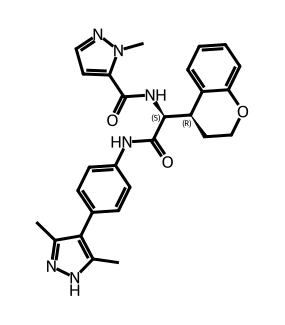 Cc1n[nH]c(C)c1-c1ccc(NC(=O)[C@@H](NC(=O)c2ccnn2C)[C@@H]2CCOc3ccccc32)cc1